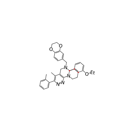 CCOc1cccc(CN(Cc2ccc3c(c2)OCCO3)Cc2c(N3CCCCC3)nnc(-c3ccccc3C)c2C)c1